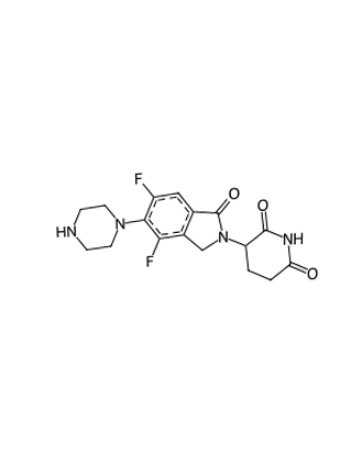 O=C1CCC(N2Cc3c(cc(F)c(N4CCNCC4)c3F)C2=O)C(=O)N1